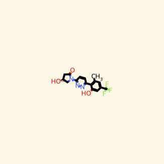 Cc1cc(C(F)(F)F)cc(O)c1-c1ccc(N2C[C@@H](O)CC2=O)nn1